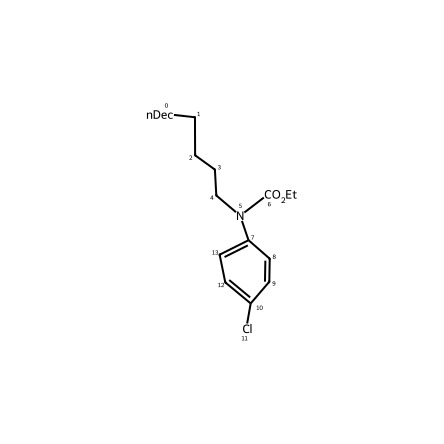 CCCCCCCCCCCCCCN(C(=O)OCC)c1ccc(Cl)cc1